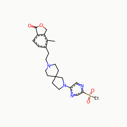 CCS(=O)(=O)c1cnc(N2CCC3(CCN(CCc4ccc5c(c4C)COC5=O)CC3)C2)cn1